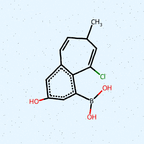 CC1C=Cc2cc(O)cc(B(O)O)c2C(Cl)=C1